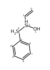 C=C[SiH](O)[SiH2]c1ccccc1